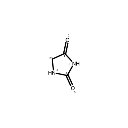 O=C1[C]NC(=O)N1